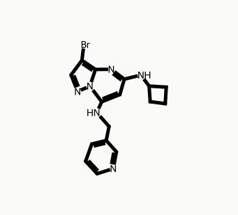 Brc1cnn2c(NCc3cccnc3)cc(NC3CCC3)nc12